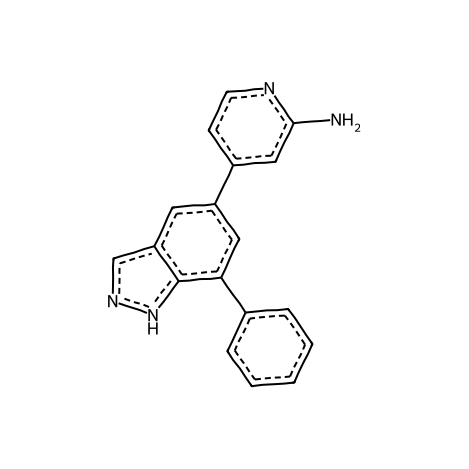 Nc1cc(-c2cc(-c3ccccc3)c3[nH]ncc3c2)ccn1